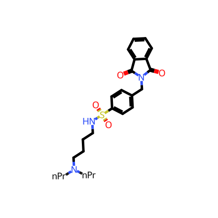 CCCN(CCC)CCCCNS(=O)(=O)c1ccc(CN2C(=O)c3ccccc3C2=O)cc1